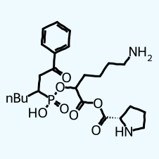 CCCCC(CC(=O)c1ccccc1)P(=O)(O)OC(CCCCN)C(=O)OC(=O)[C@@H]1CCCN1